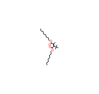 CCCCCCCCOC(=O)/C(C)=C(\C(=O)OCCCCCCCC)C(C)(C)C